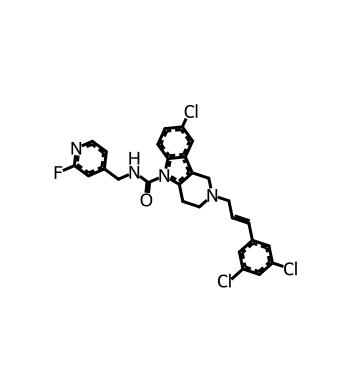 O=C(NCc1ccnc(F)c1)n1c2c(c3cc(Cl)ccc31)CN(CC=Cc1cc(Cl)cc(Cl)c1)CC2